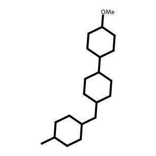 COC1CCC(C2CCC(CC3CCC(C)CC3)CC2)CC1